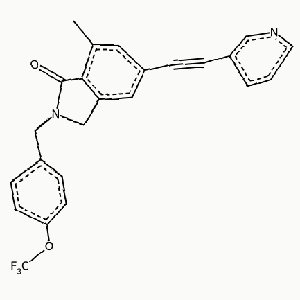 Cc1cc(C#Cc2cccnc2)cc2c1C(=O)N(Cc1ccc(OC(F)(F)F)cc1)C2